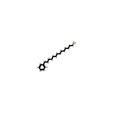 BrCCCCCCCCCCCCCCc1ccccc1